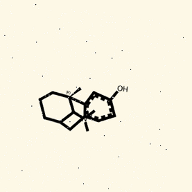 CN(C)C1C2CCC[C@]1(C)c1cc(O)ccc1C2